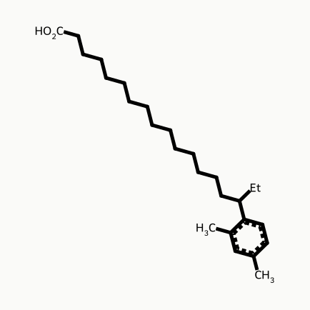 CCC(CCCCCCCCCCCCCCC(=O)O)c1ccc(C)cc1C